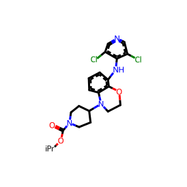 CC(C)OC(=O)N1CCC(N2CCOc3c(Nc4c(Cl)cncc4Cl)cccc32)CC1